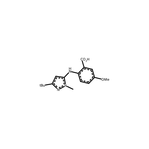 COc1ccc(Nc2cc(C(C)(C)C)nn2C)c(C(=O)O)c1